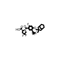 CCC1(COc2cc(F)c(C(=O)N3CC(F)(F)C[C@H]3C(=O)O)cc2C2CC2)CC2CCCC(C2)C1